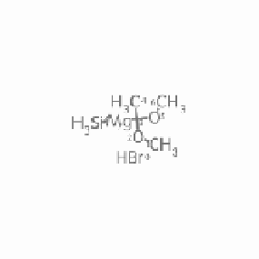 Br.CO[C](C)(OC)[Mg][SiH3]